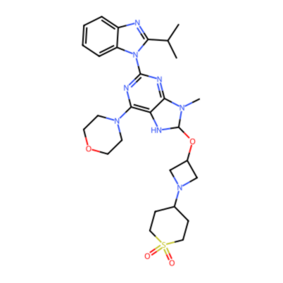 CC(C)c1nc2ccccc2n1-c1nc(N2CCOCC2)c2c(n1)N(C)C(OC1CN(C3CCS(=O)(=O)CC3)C1)N2